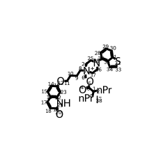 CCCC(CCC)C(=O)OC[N+]1(CCCCOc2ccc3ccc(=O)[nH]c3c2)CCN(c2cccc3sccc23)CC1.[I-]